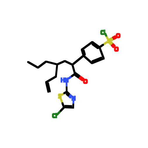 C=CCC(CCC)CC(C(=O)Nc1ncc(Cl)s1)c1ccc(S(=O)(=O)Cl)cc1